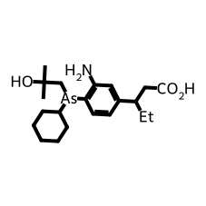 CCC(CC(=O)O)c1ccc([As](CC(C)(C)O)C2CCCCC2)c(N)c1